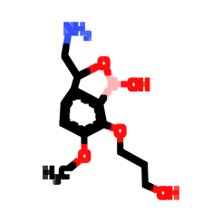 COc1ccc2c(c1OCCCO)B(O)OC2CN